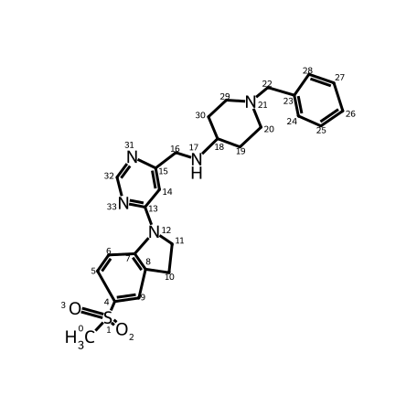 CS(=O)(=O)c1ccc2c(c1)CCN2c1cc(CNC2CCN(Cc3ccccc3)CC2)ncn1